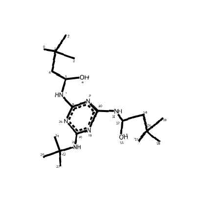 CC(C)(C)CC(O)Nc1nc(NC(O)CC(C)(C)C)nc(NC(C)(C)C)n1